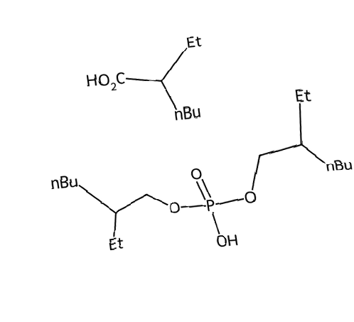 CCCCC(CC)C(=O)O.CCCCC(CC)COP(=O)(O)OCC(CC)CCCC